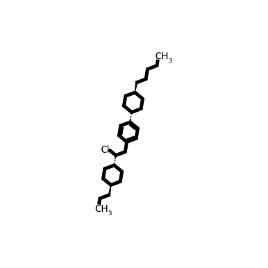 CCCCC[C@H]1CC[C@H](c2ccc(CC(Cl)[C@H]3CC[C@H](CCC)CC3)cc2)CC1